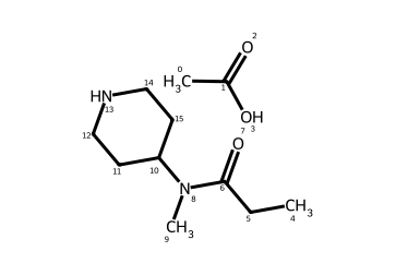 CC(=O)O.CCC(=O)N(C)C1CCNCC1